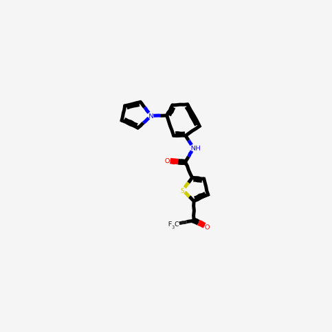 O=C(Nc1cccc(-n2cccc2)c1)c1ccc(C(=O)C(F)(F)F)s1